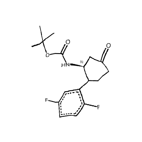 CC(C)(C)OC(=O)N[C@H]1CC(=O)CCC1c1cc(F)ccc1F